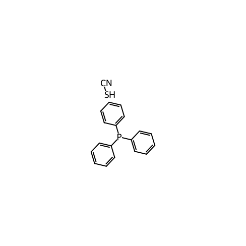 N#CS.c1ccc(P(c2ccccc2)c2ccccc2)cc1